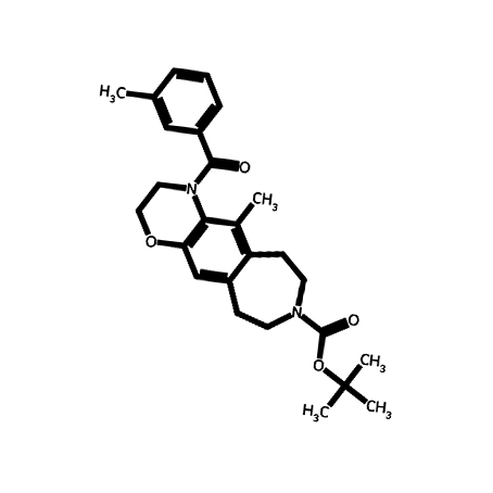 Cc1cccc(C(=O)N2CCOc3cc4c(c(C)c32)CCN(C(=O)OC(C)(C)C)CC4)c1